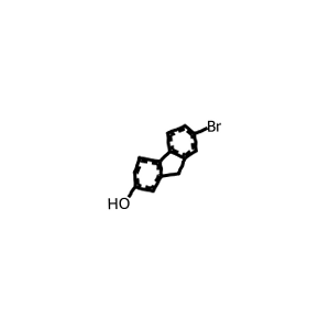 Oc1ccc2c(c1)Cc1cc(Br)ccc1-2